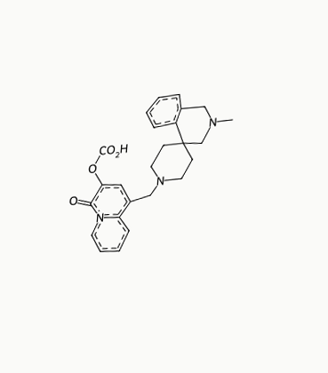 CN1Cc2ccccc2C2(CCN(Cc3cc(OC(=O)O)c(=O)n4ccccc34)CC2)C1